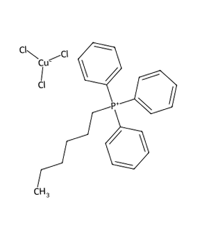 CCCCCC[P+](c1ccccc1)(c1ccccc1)c1ccccc1.[Cl][Cu-]([Cl])[Cl]